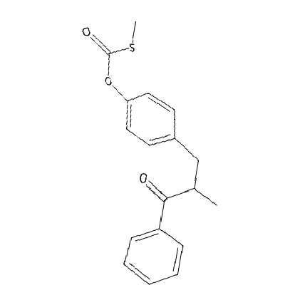 CSC(=O)Oc1ccc(CC(C)C(=O)c2ccccc2)cc1